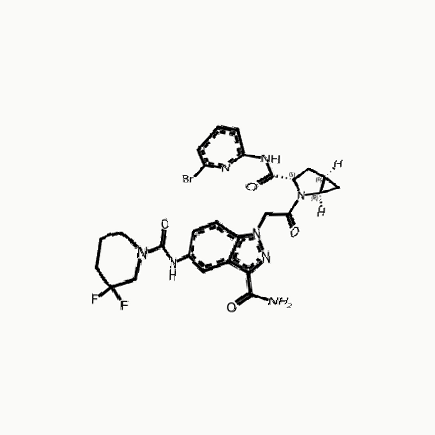 NC(=O)c1nn(CC(=O)N2[C@@H]3C[C@@H]3C[C@H]2C(=O)Nc2cccc(Br)n2)c2ccc(NC(=O)N3CCCC(F)(F)C3)cc12